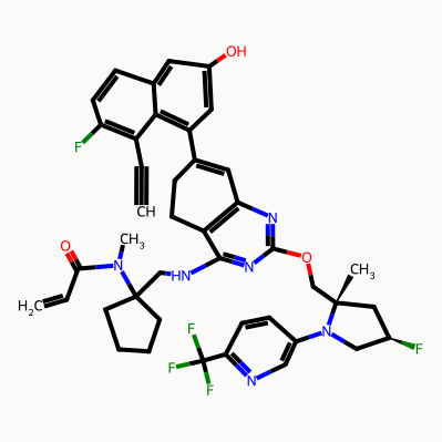 C#Cc1c(F)ccc2cc(O)cc(C3=Cc4nc(OC[C@]5(C)C[C@@H](F)CN5c5ccc(C(F)(F)F)nc5)nc(NCC5(N(C)C(=O)C=C)CCCC5)c4CC3)c12